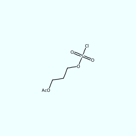 CC(=O)OCCCOS(=O)(=O)Cl